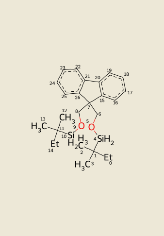 CCC(C)(C)[SiH2]OCC1(CO[SiH2]C(C)(C)CC)c2ccccc2-c2ccccc21